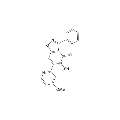 COc1ccnc(-c2cc3onc(-c4ccccc4)c3c(=O)n2C)c1